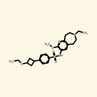 CCOC1CC(c2ccc(S(=O)(=O)Nc3cc4c(nc3OC)CCN(CC)CC4)cc2)C1